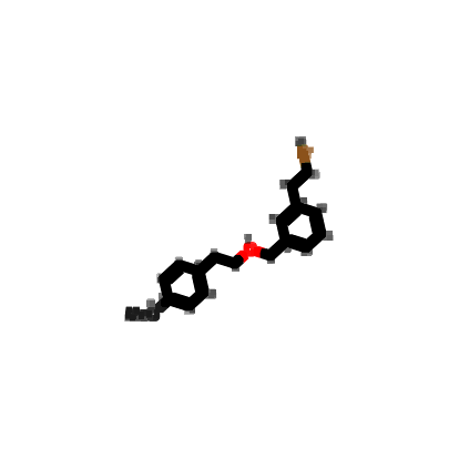 COc1ccc(CCOCc2cccc(CCBr)c2)cc1